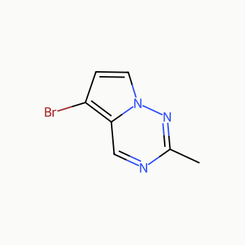 Cc1ncc2c(Br)ccn2n1